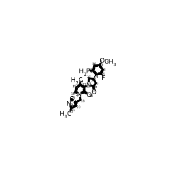 COc1cc(F)c([C@H]2CC(=O)N(c3c(C)ccn(Cc4cc(C)no4)c3=O)C2)c(P)c1